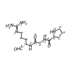 NC(N)=NCCC[C@@H](C=O)NC(=O)CNC(=O)[C@@H]1CCCN1